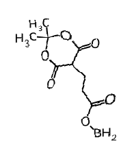 BOC(=O)CCC1C(=O)OC(C)(C)OC1=O